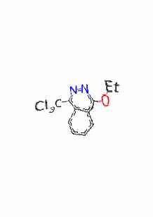 CCOc1nnc(C(Cl)(Cl)Cl)c2ccccc12